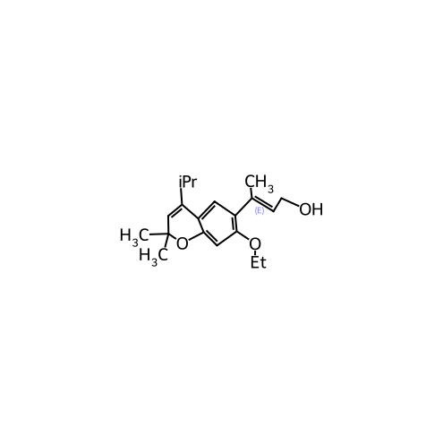 CCOc1cc2c(cc1/C(C)=C/CO)C(C(C)C)=CC(C)(C)O2